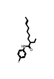 CC=CCCCCC(CC)C(=O)Nc1ccc(I)cc1